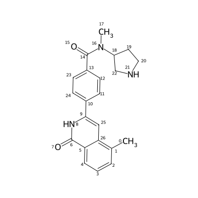 Cc1cccc2c(=O)[nH]c(-c3ccc(C(=O)N(C)C4CCNC4)cc3)cc12